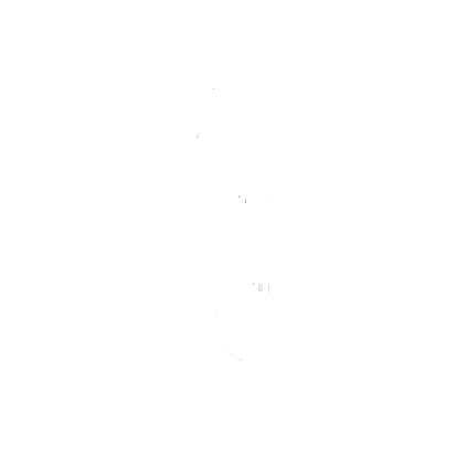 CC(C)(C)OC(=O)NCCCN(C(=O)CCl)C1CCN(C(=O)O)CC1